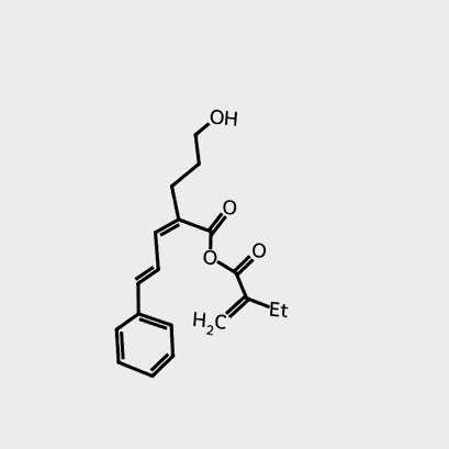 C=C(CC)C(=O)OC(=O)C(=CC=Cc1ccccc1)CCCO